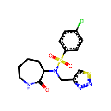 O=C1NCCCCC1N(Cc1csnn1)S(=O)(=O)c1ccc(Cl)cc1